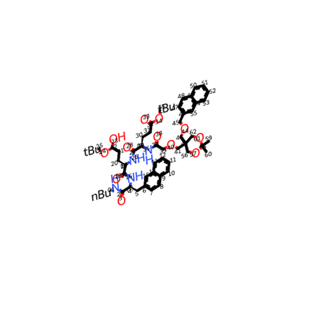 CCCCNC(=O)[C@H](Cc1ccc2ccccc2c1)NC(=O)[C@@H](CCC(O)OC(C)(C)C)NC(=O)[C@@H](CCC(=O)OC(C)(C)C)NC(=O)COCC1(COCc2ccc3ccccc3c2)COC(C)(C)OC1